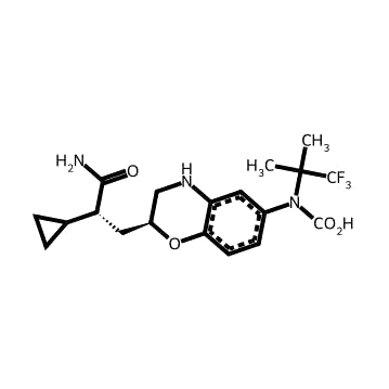 CC(C)(N(C(=O)O)c1ccc2c(c1)NC[C@H](C[C@@H](C(N)=O)C1CC1)O2)C(F)(F)F